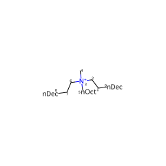 CCCCCCCCCCCC[N+](C)(CCCCCCCC)CCCCCCCCCCCC